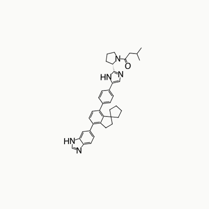 CC(C)CC(=O)N1CCC[C@H]1c1ncc(-c2ccc(-c3ccc(-c4ccc5nc[nH]c5c4)c4c3C3(CCCC3)CC4)cc2)[nH]1